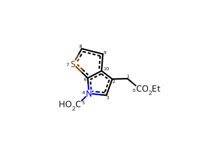 CCOC(=O)Cc1cn(C(=O)O)c2sccc12